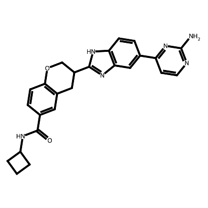 Nc1nccc(-c2ccc3[nH]c(C4COc5ccc(C(=O)NC6CCC6)cc5C4)nc3c2)n1